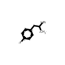 [CH2]C(Cc1ccc(F)cc1)C(C)C